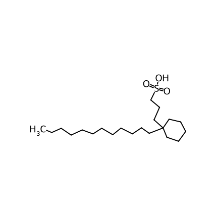 CCCCCCCCCCCCC1(CCCS(=O)(=O)O)CCCCC1